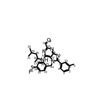 Cc1cccc(-c2nc3nc(C=O)nc(NC(C)CC(C)C)c3n2Cc2ccc(SF)cc2)c1